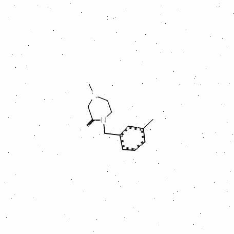 Cc1cccc(CN2CCN(C)CC2=O)c1